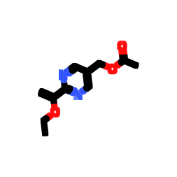 C=C(OCC)c1ncc(COC(C)=O)cn1